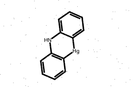 [c]1cccc2[c]1[Hg][c]1ccccc1N2